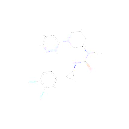 CN(C(=O)N[C@H]1C[C@@H]1c1ccc(F)c(F)c1)[C@@H]1CCCN(c2cccnn2)C1